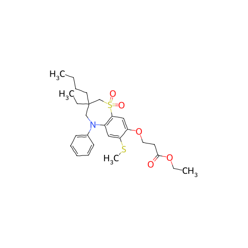 CCCCC1(CC)CN(c2ccccc2)c2cc(SC)c(OCCC(=O)OCC)cc2S(=O)(=O)C1